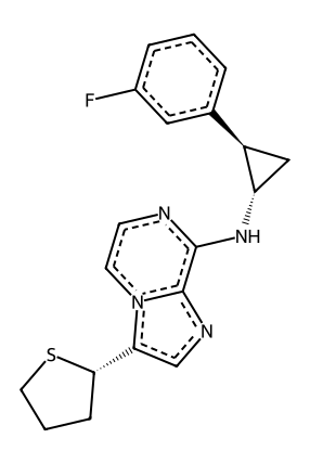 Fc1cccc([C@H]2C[C@@H]2Nc2nccn3c([C@@H]4CCCS4)cnc23)c1